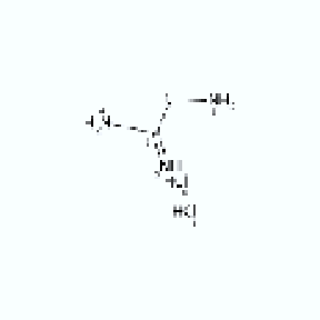 Cl.Cl.N=C(N)CN